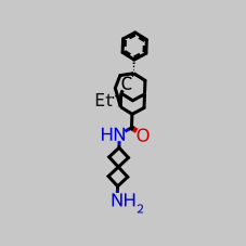 CC[C@]12CC3CC(C(=O)NC4CC5(CC(N)C5)C4)C1CC[C@@](c1ccccc1)(C3)C2